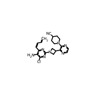 C=C/C=C\c1nc(N2CC(c3nccnc3N3CCC(C#N)CC3)C2)nc(Cl)c1N